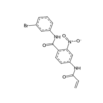 C=CC(=O)Nc1ccc(C(=O)Nc2cccc(Br)c2)c([N+](=O)[O-])c1